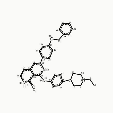 CCN1CCC(c2ccc(Nc3nc(-c4ccc(OCc5ccccc5)cc4)cc4cc[nH]c(=O)c34)cc2)CC1